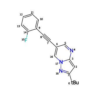 CC(C)(C)c1cc2ncc(C#Cc3ccccc3F)cn2n1